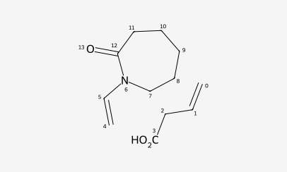 C=CCC(=O)O.C=CN1CCCCCC1=O